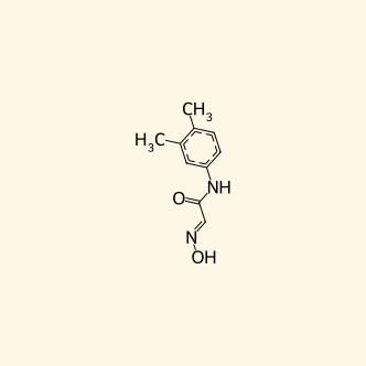 Cc1ccc(NC(=O)/C=N/O)cc1C